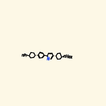 CCCCCC[C@H]1CC[C@H](c2ccc(-c3ccc([C@H]4CC[C@H](CCC)CC4)cc3)nc2)CC1